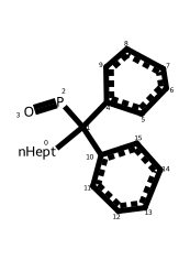 CCCCCCCC(P=O)(c1ccccc1)c1ccccc1